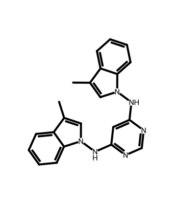 Cc1cn(Nc2cc(Nn3cc(C)c4ccccc43)ncn2)c2ccccc12